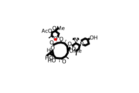 CO[C@]1(C)C[C@H](O[C@H]2[C@H](C)[C@@H](O[C@@H]3O[C@H](C)C[C@@H](N4CCC(O)CC4)[C@@H]3N(C)C)[C@@](C)(OC)C[C@@H](C)C(=O)[C@H](C)[C@@H](O)[C@@]3(O)C(C)[C@H]3OC(=O)[C@@H]2C)O[C@@H](C)[C@@H]1OC(C)=O